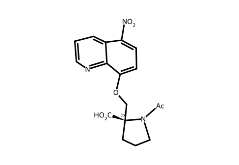 CC(=O)N1CCC[C@@]1(COc1ccc([N+](=O)[O-])c2cccnc12)C(=O)O